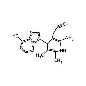 C#CCC1=C(N)NC(C)=C(C)C1c1csc2c(C#N)cccc12